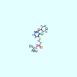 CCCCC(CC)COC(=O)CCSc1ccnc(OC2CCOCC2)c1Cl